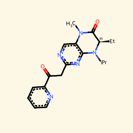 CC[C@@H]1C(=O)N(C)c2cnc(CC(=O)c3ccccn3)nc2N1C(C)C